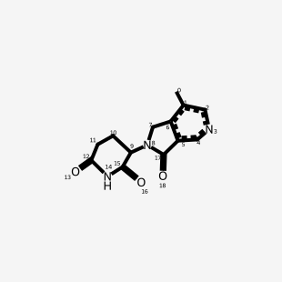 Cc1cncc2c1CN(C1CCC(=O)NC1=O)C2=O